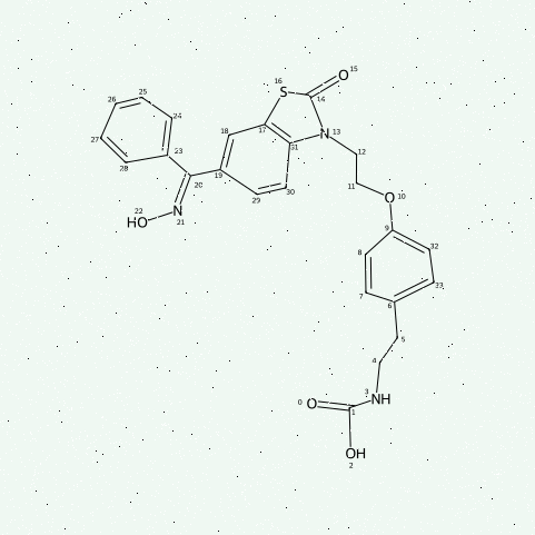 O=C(O)NCCc1ccc(OCCn2c(=O)sc3cc(C(=NO)c4ccccc4)ccc32)cc1